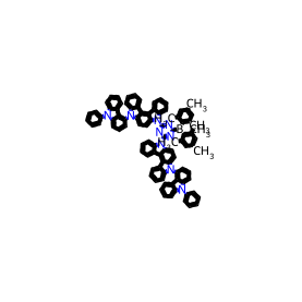 Cc1cc(C)c(B(c2nc(-n3c4ccccc4c4c5c6ccccc6n(-c6cccc7c6c6ccccc6n7-c6ccccc6)c5ccc43)nc(-n3c4ccccc4c4c5c6ccccc6n(-c6cccc7c6c6ccccc6n7-c6ccccc6)c5ccc43)n2)c2c(C)cc(C)cc2C)c(C)c1